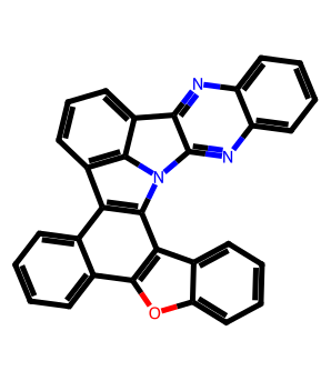 c1ccc2nc3c(nc2c1)c1cccc2c4c5ccccc5c5oc6ccccc6c5c4n3c12